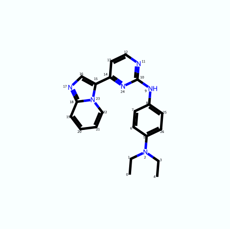 CCN(CC)c1ccc(Nc2nccc(-c3cnc4ccccn34)n2)cc1